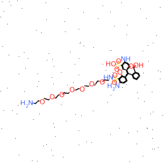 N=c1ccc2c(-c3ccccc3C(=O)O)c3ccc(N)c(S(=O)(=O)NCCOCCOCCOCCOCCOCCOCCOCCN)c3oc-2c1S(=O)(=O)O